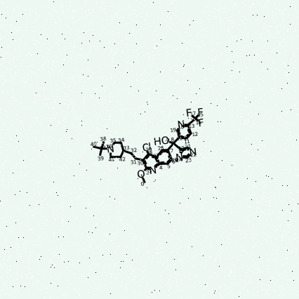 COc1nc2ccc(C(O)(c3ccc(C(F)(F)F)nc3)c3cncn3C)cc2c(Cl)c1CCC1CCN(C(C)(C)C)CC1